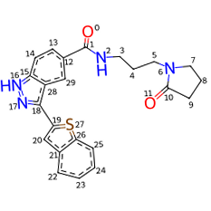 O=C(NCCCN1CCCC1=O)c1ccc2[nH]nc(-c3cc4ccccc4s3)c2c1